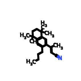 CCCCc1cc2c(cc1C(C)=CC#N)C(C)(C)CCC2(C)C